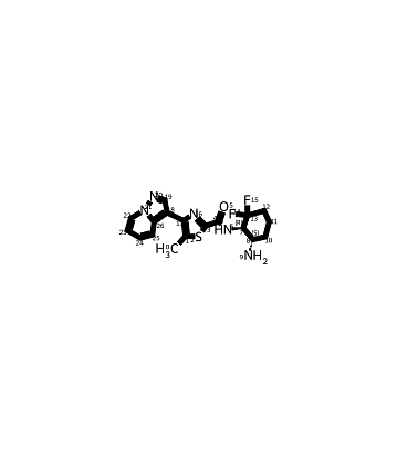 Cc1sc(C(=O)N[C@@H]2[C@@H](N)CCCC2(F)F)nc1-c1cnn2ccccc12